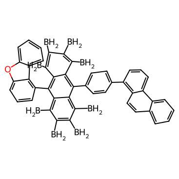 Bc1c(B)c(B)c2c(-c3cccc4oc5ccccc5c34)c3c(B)c(B)c(B)c(B)c3c(-c3ccc(-c4cccc5c4ccc4ccccc45)cc3)c2c1B